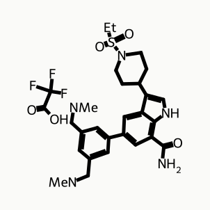 CCS(=O)(=O)N1CCC(c2c[nH]c3c(C(N)=O)cc(-c4cc(CNC)cc(CNC)c4)cc23)CC1.O=C(O)C(F)(F)F